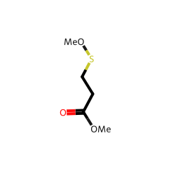 COSCCC(=O)OC